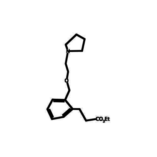 CCOC(=O)CCc1ccccc1COCCN1CCCC1